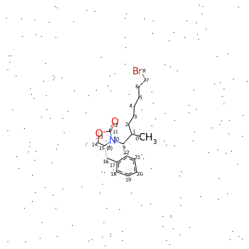 CC(CCCCCCBr)CN1C(=O)OC[C@H]1Cc1ccccc1